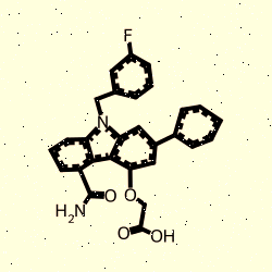 NC(=O)c1cccc2c1c1c(OCC(=O)O)cc(-c3ccccc3)cc1n2Cc1cccc(F)c1